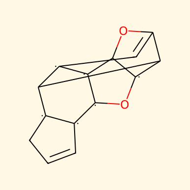 C1=C[C]2[C]3O[C]4C5OC6=C[C]([C]35)C([C]2C1)C46